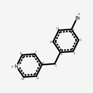 Brc1ccc(Cc2ccncc2)cc1